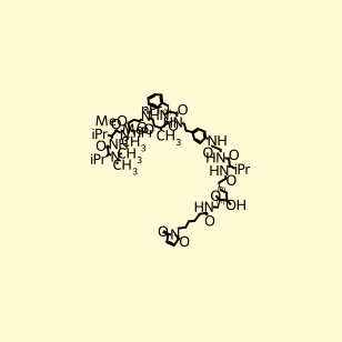 CCCC(C(CC(=O)N(CCC)CC(OC)C(C)C(=O)N[C@@H](Cc1ccccc1)C(=O)NCCc1ccc(NC(=O)CNC(=O)C(NC(=O)C[C@H]2CC(O)[C@@H](CNC(=O)CCCCCN3C(=O)C=CC3=O)O2)C(C)C)cc1)OC)N(C)C(=O)C(NC(=O)C(C(C)C)N(C)C)C(C)C